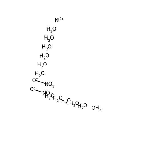 O.O.O.O.O.O.O.O.O.O.O.O.O=[N+]([O-])[O-].O=[N+]([O-])[O-].[Ni+2]